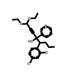 CCCC(c1ccc(Cl)cc1Cl)C(O)(C#CC(OCC)OCC)c1cccnc1